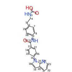 O=C(O)NCCc1ccc(NC(=O)c2ccc(-n3ccc4cccnc43)cc2)cc1